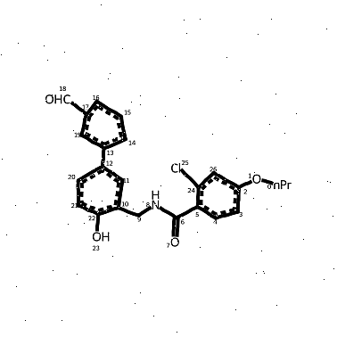 CCCOc1ccc(C(=O)NCc2cc(-c3cccc(C=O)c3)ccc2O)c(Cl)c1